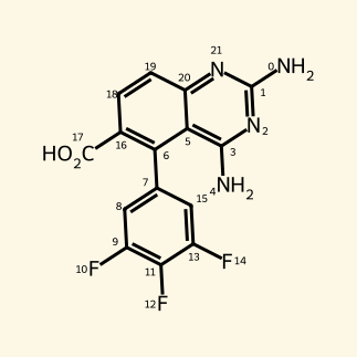 Nc1nc(N)c2c(-c3cc(F)c(F)c(F)c3)c(C(=O)O)ccc2n1